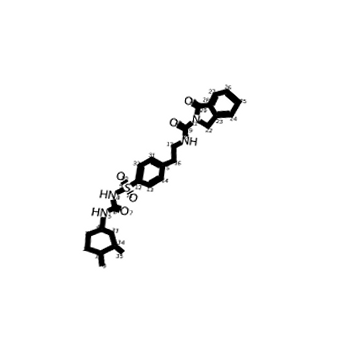 CC1CCC(NC(=O)NS(=O)(=O)c2ccc(CCNC(=O)N3Cc4ccccc4C3=O)cc2)CC1C